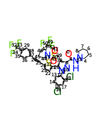 O=C(NN1CCCCC1)c1nn(-c2ccc(Cl)cc2Cl)c(-c2ccc(C#Cc3ccc(C(F)(F)F)cc3)s2)c1CS(=O)(=O)N1CCC[C@@H]1C(F)(F)F